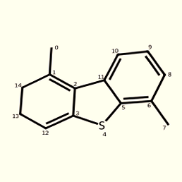 CC1=c2c(sc3c(C)cccc23)=CCC1